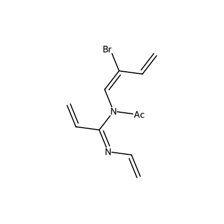 C=C/N=C(/C=C)N(/C=C(/Br)C=C)C(C)=O